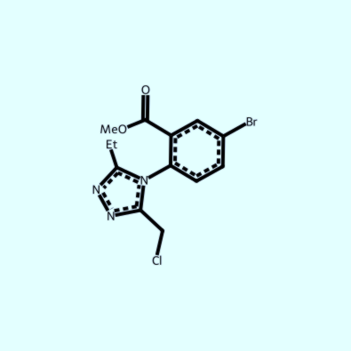 CCc1nnc(CCl)n1-c1ccc(Br)cc1C(=O)OC